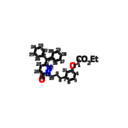 CCOC(=O)COc1cccc(CCCn2nc(C(c3ccccc3)c3ccccc3)ccc2=O)c1